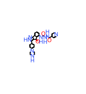 O=C(NNC(=O)c1ccncc1)Nc1cccc2c1C(=O)c1c-2n[nH]c1-c1ccc(N2CCNCC2)cc1